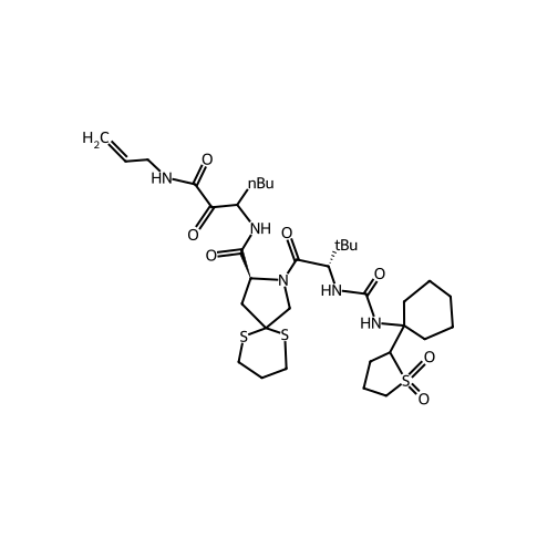 C=CCNC(=O)C(=O)C(CCCC)NC(=O)[C@@H]1CC2(CN1C(=O)[C@@H](NC(=O)NC1(C3CCCS3(=O)=O)CCCCC1)C(C)(C)C)SCCCS2